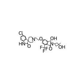 CC1(O)CC(N2C(=O)c3c(cc(OCCN4CCC5(CC4)C(=O)Nc4ccc(Cl)cc45)cc3C(F)(F)F)C2O)C1